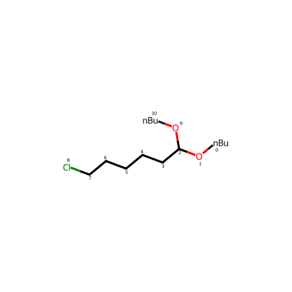 CCCCOC(CCCCCCl)OCCCC